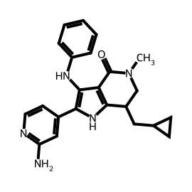 CN1CC(CC2CC2)c2[nH]c(-c3ccnc(N)c3)c(Nc3ccccc3)c2C1=O